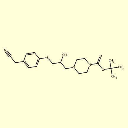 CC(C)(C)OC(=O)N1CCN(CC(O)CSc2ccc(CC#N)cc2)CC1